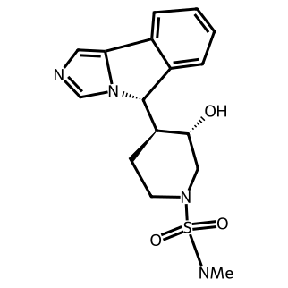 CNS(=O)(=O)N1CC[C@@H]([C@H]2c3ccccc3-c3cncn32)[C@H](O)C1